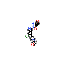 C[C@@]1(N2CCC(c3cc4cc(NC(=O)C5[C@H]6CCOC[C@H]56)ncc4cc3Cl)CC2)CCOC1